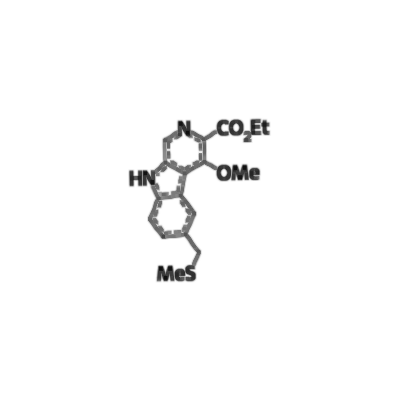 CCOC(=O)c1ncc2[nH]c3ccc(CSC)cc3c2c1OC